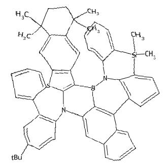 CC(C)(C)c1ccc(N2c3cc4ccccc4c4c3B(c3c2sc2cc5c(cc32)C(C)(C)CCC5(C)C)N2c3ccccc3[Si](C)(C)c3cccc-4c32)c(-c2ccccc2)c1